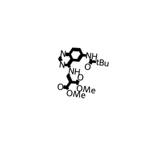 COC(=O)C(=CNc1ncnc2ccc(NC(=O)C(C)(C)C)cc12)C(=O)OC